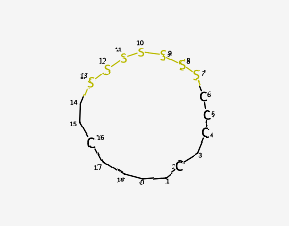 C1CCCCCCSSSSSSSCCCCC1